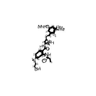 C=CC(=O)Nc1cc(N(C)CCO)ccc1C(=O)Nc1cc(CCc2cc(OC)cc(OC)c2)[nH]n1